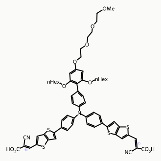 CCCCCCOc1cc(OCCOCCOCCOC)cc(OCCCCCC)c1-c1ccc(N(c2ccc(-c3cc4sc(/C=C(\C#N)C(=O)O)cc4s3)cc2)c2ccc(-c3cc4sc(/C=C(\C#N)C(=O)O)cc4s3)cc2)cc1